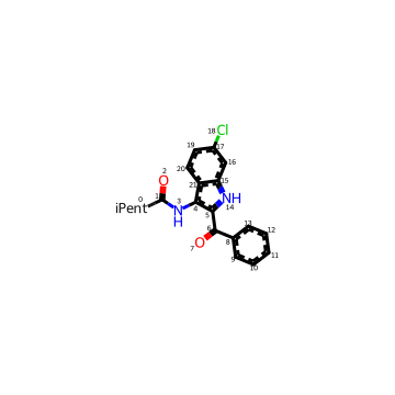 CCCC(C)C(=O)Nc1c(C(=O)c2ccccc2)[nH]c2cc(Cl)ccc12